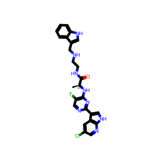 C[C@H](Nc1nc(-c2c[nH]c3ncc(Cl)cc23)ncc1F)C(=O)NCCNCc1c[nH]c2ccccc12